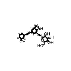 OC[C@H]1O[C@H](C#Cc2cc(C#Cc3cccc(O)c3)cc3cn[nH]c23)[C@@H](O)[C@@H](O)[C@@H]1O